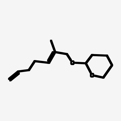 C=CCCC=C(C)COC1CCCCO1